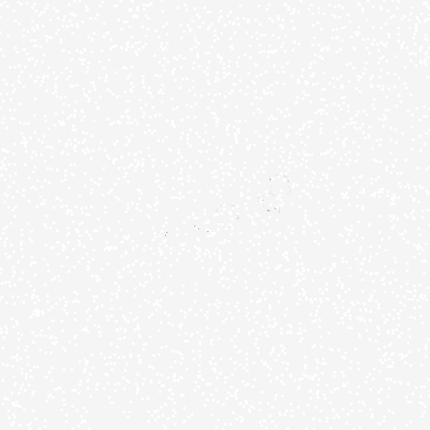 CC1CCCN([C@H]2CCN(C(=O)c3ccc(Cn4cnc5cccc(F)c54)cc3)C2)C1